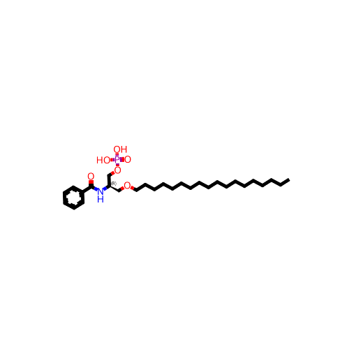 CCCCCCCCCCCCCCCCCCOC[C@H](COP(=O)(O)O)NC(=O)c1ccccc1